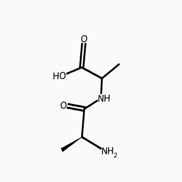 CC(NC(=O)[C@H](C)N)C(=O)O